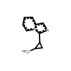 O=C(O)C1CC1c1ncc2ccccn12